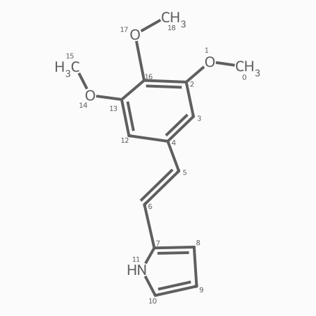 COc1cc(/C=C/c2ccc[nH]2)cc(OC)c1OC